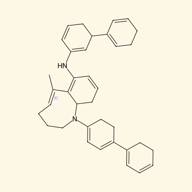 C/C1=C\CCCN(C2=CC=C(C3=CC=CCC3)CC2)C2CC=CC(NC3=CC(C4=CCCC=C4)CC=C3)=C12